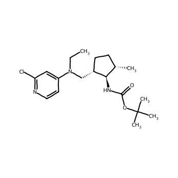 CCN(C[C@@H]1CC[C@H](C)[C@H]1NC(=O)OC(C)(C)C)c1ccnc(Cl)c1